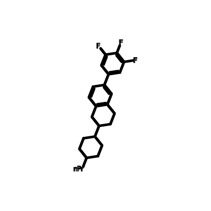 CCCC1CCC(C2CCc3cc(-c4cc(F)c(F)c(F)c4)ccc3C2)CC1